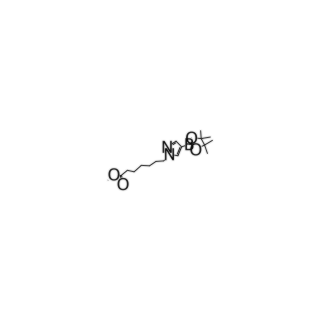 COC(=O)CCCCCCn1cc(B2OC(C)(C)C(C)(C)O2)cn1